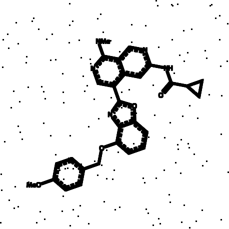 CNc1ncc(-c2nc3c(OCc4ccc(OC)cc4)cccc3o2)c2cc(NC(=O)C3CC3)ncc12